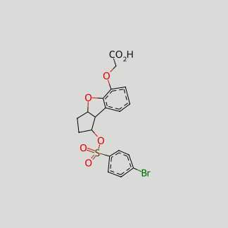 O=C(O)COc1cccc2c1OC1CCC(OS(=O)(=O)c3ccc(Br)cc3)C21